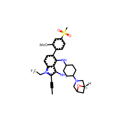 CC#Cc1c(N)c2c(NC3CCC(N4CC5C[C@@H](C4)O5)CC3)c(-c3ccc(S(C)(=O)=O)cc3OC)ccc2n1CC(F)(F)F